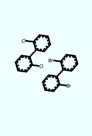 Brc1ccccc1-c1ccccc1Br.Clc1ccccc1-c1ccccc1Cl